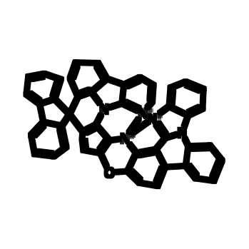 c1ccc2c(c1)-c1ccccc1C21c2ccc3c4c2-n2c5c1cccc5c1ccc[n+](c12)[N+]41c2c(ccc4c5ccccc5n5c6ccccc6[n+]1c5c24)O3